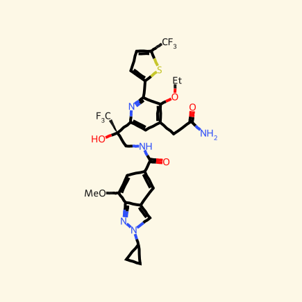 CCOc1c(CC(N)=O)cc([C@@](O)(CNC(=O)c2cc(OC)c3nn(C4CC4)cc3c2)C(F)(F)F)nc1-c1ccc(C(F)(F)F)s1